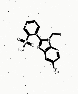 O=S(=O)(c1ccccc1-c1nc2cc(C(F)(F)F)cnc2n1CI)C(F)(F)F